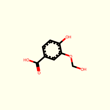 O=C(O)c1ccc(O)c(OCO)c1